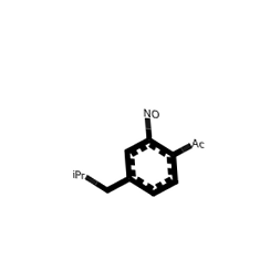 CC(=O)c1ccc(CC(C)C)cc1N=O